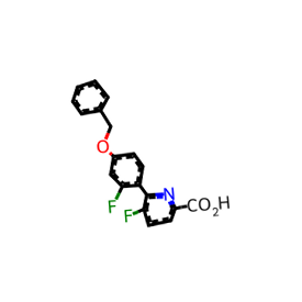 O=C(O)c1ccc(F)c(-c2ccc(OCc3ccccc3)cc2F)n1